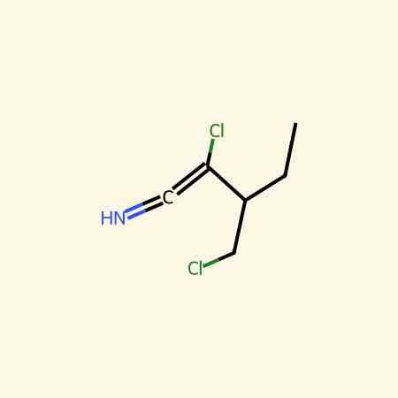 CCC(CCl)C(Cl)=C=N